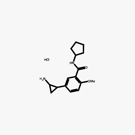 COc1ccc(C2CC2N)cc1C(=O)NC1CCCC1.Cl